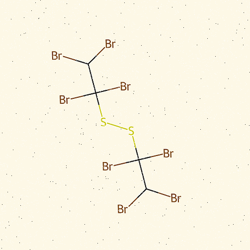 BrC(Br)C(Br)(Br)SSC(Br)(Br)C(Br)Br